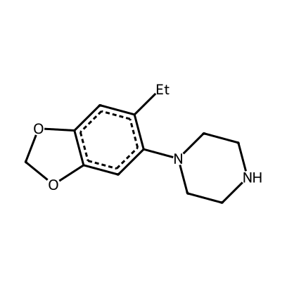 CCc1cc2c(cc1N1CCNCC1)OCO2